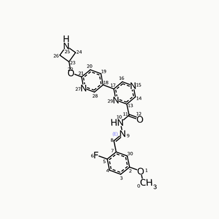 COc1ccc(F)c(/C=N/NC(=O)c2cncc(-c3ccc(OC4CNC4)nc3)n2)c1